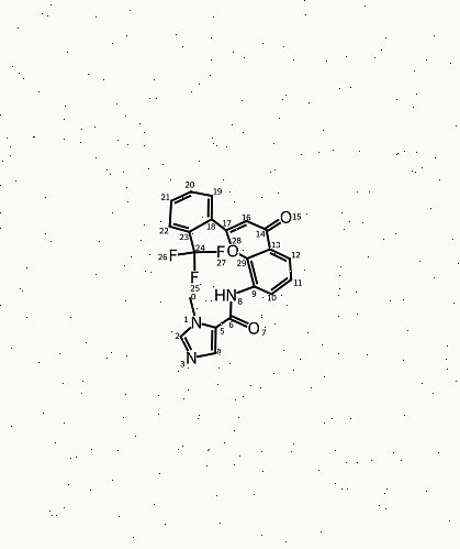 Cn1cncc1C(=O)Nc1cccc2c(=O)cc(-c3ccccc3C(F)(F)F)oc12